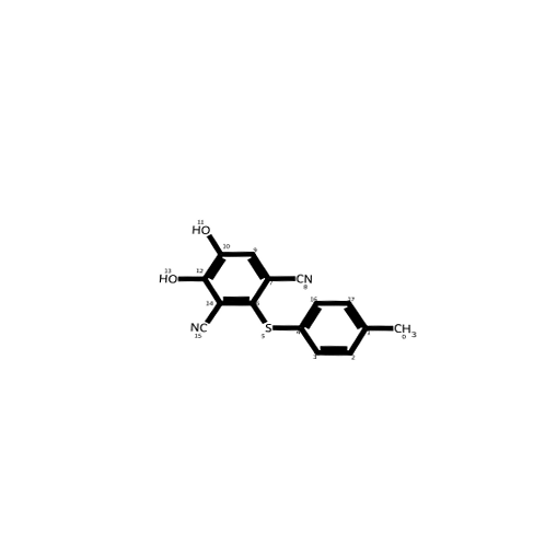 Cc1ccc(Sc2c(C#N)cc(O)c(O)c2C#N)cc1